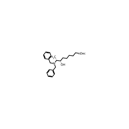 CCCCCCCCCCCCCCC[C@H](O)[C@@H](C)N(Cc1ccccc1)Cc1ccccc1